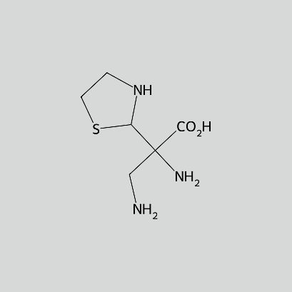 NCC(N)(C(=O)O)C1NCCS1